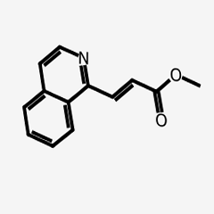 COC(=O)C=Cc1nccc2ccccc12